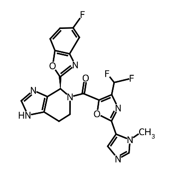 Cn1cncc1-c1nc(C(F)F)c(C(=O)N2CCc3[nH]cnc3[C@H]2c2nc3cc(F)ccc3o2)o1